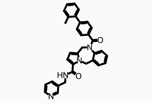 Cc1ccccc1-c1ccc(C(=O)N2Cc3ccc(C(=O)NCc4cccnc4)n3Cc3ccccc32)cc1